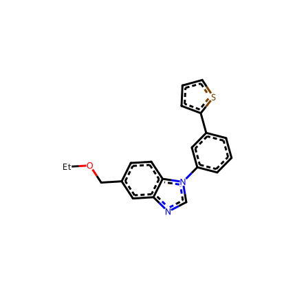 CCOCc1ccc2c(c1)ncn2-c1cccc(-c2cccs2)c1